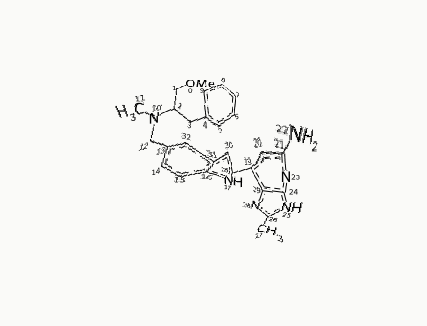 COCC(Cc1ccccc1)N(C)Cc1ccc2[nH]c(-c3cc(N)nc4[nH]c(C)nc34)cc2c1